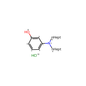 CCCCCCCN(CCCCCCC)c1cccc(O)c1.Cl